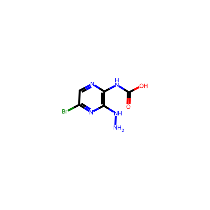 NNc1nc(Br)cnc1NC(=O)O